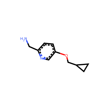 NCc1ccc(OCC2CC2)cn1